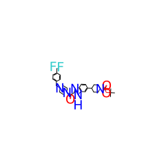 CC(C)(C)OC(=O)N1CCC(c2ccc3nc(C(=O)N4CCN(Cc5ccc(C(F)F)cc5)CC4)[nH]c3c2)CC1